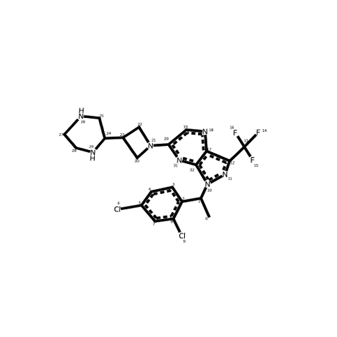 CC(c1ccc(Cl)cc1Cl)n1nc(C(F)(F)F)c2ncc(N3CC(C4CNCCN4)C3)nc21